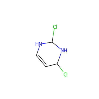 ClC1C=CNC(Cl)N1